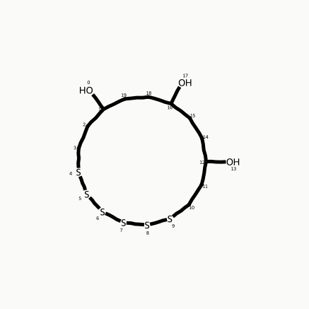 OC1CCSSSSSSCCC(O)CCC(O)CC1